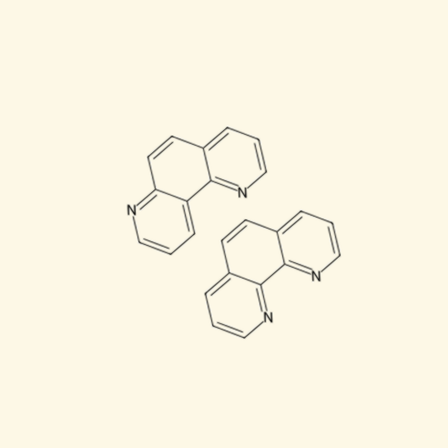 c1cnc2c(c1)ccc1cccnc12.c1cnc2c(c1)ccc1ncccc12